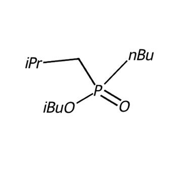 CCCCP(=O)(CC(C)C)OCC(C)C